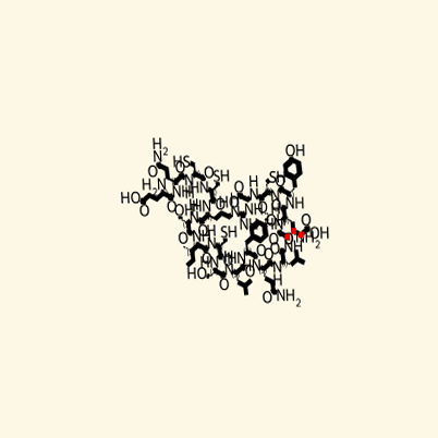 CC[C@H](C)[C@H](NC(=O)[C@H](CO)NC(=O)[C@H](CCCNC(=N)N)NC(=O)[C@H](CS)NC(=O)[C@H](CS)NC(=O)[C@H](CCC(N)=O)NC(=O)[C@@H](N)CCC(=O)O)C(=O)N[C@@H](CS)C(=O)N[C@@H](CO)C(=O)N[C@@H](CC(C)C)C(=O)N[C@@H](Cc1ccc(O)cc1)C(=O)N[C@@H](CCC(N)=O)C(=O)N[C@@H](CC(C)C)C(=O)N[C@@H](CCC(=O)O)C(=O)N[C@@H](CC(N)=O)C(=O)N[C@@H](Cc1ccc(O)cc1)C(=O)N[C@@H](CS)C(=O)NCC(=O)O